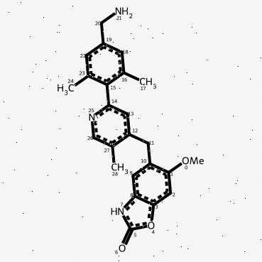 COc1cc2oc(=O)[nH]c2cc1Cc1cc(-c2c(C)cc(CN)cc2C)ncc1C